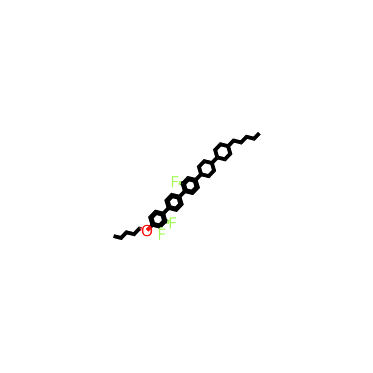 CCCCCOc1ccc(-c2ccc(-c3ccc(C4CCC(C5CCC(CCCCC)CC5)CC4)cc3F)cc2)c(F)c1F